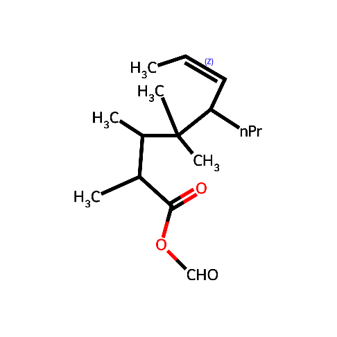 C/C=C\C(CCC)C(C)(C)C(C)C(C)C(=O)OC=O